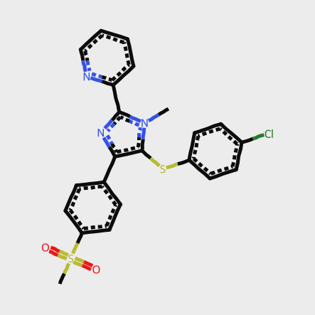 Cn1c(-c2ccccn2)nc(-c2ccc(S(C)(=O)=O)cc2)c1Sc1ccc(Cl)cc1